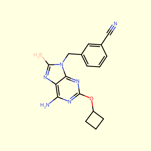 Bc1nc2c(N)nc(OC3CCC3)nc2n1Cc1cccc(C#N)c1